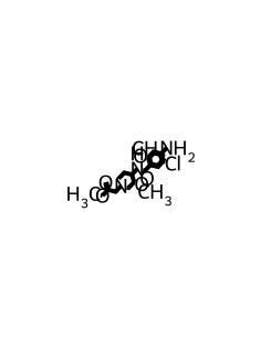 COC(=O)CN1CCC(NC(=O)c2cc(Cl)c(N)cc2OC)C(OC)C1